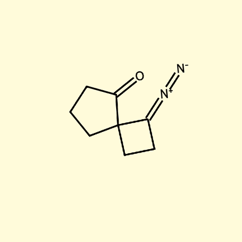 [N-]=[N+]=C1CCC12CCCC2=O